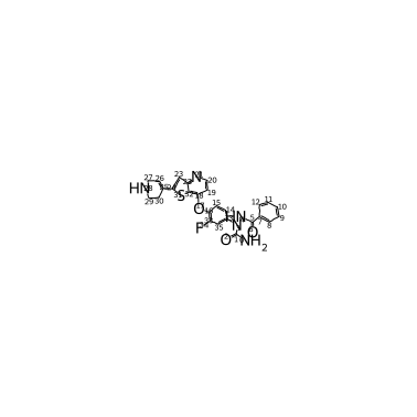 NC(=O)N(NC(=O)c1ccccc1)c1ccc(Oc2ccnc3cc(C4=CCNCC4)sc23)c(F)c1